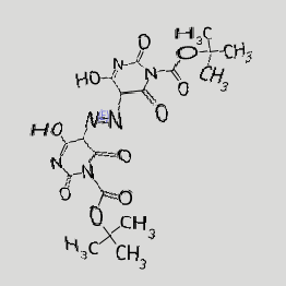 CC(C)(C)OC(=O)N1C(=O)N=C(O)C(/N=N/C2C(=O)N(C(=O)OC(C)(C)C)C(=O)N=C2O)C1=O